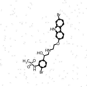 CS(=O)(=O)Nc1cc([C@@H](O)CNCCOc2ccc3c(c2)[nH]c2cc(Br)ccc23)ccc1Br